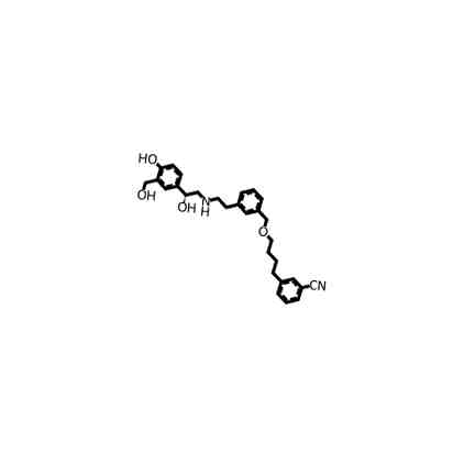 N#Cc1cccc(CCCCOCc2cccc(CCNC[C@H](O)c3ccc(O)c(CO)c3)c2)c1